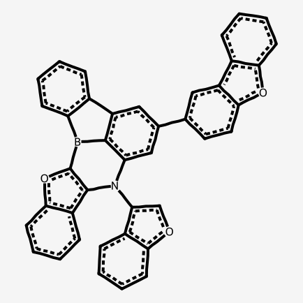 c1ccc2c(c1)B1c3oc4ccccc4c3N(c3coc4ccccc34)c3cc(-c4ccc5oc6ccccc6c5c4)cc-2c31